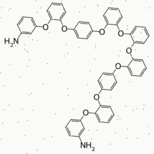 Nc1cccc(Oc2ccccc2Oc2ccc(Oc3ccccc3Oc3ccccc3Oc3ccccc3Oc3ccc(Oc4ccccc4Oc4cccc(N)c4)cc3)cc2)c1